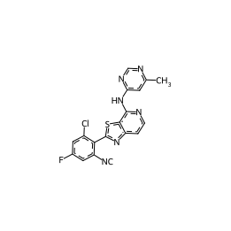 [C-]#[N+]c1cc(F)cc(Cl)c1-c1nc2ccnc(Nc3cc(C)ncn3)c2s1